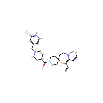 C=CC1=C(/C=C\C)N(CCC)CCC2(CCN(C(=O)C3CCN(Cc4ccnc(N)c4)CC3)CC2)O1